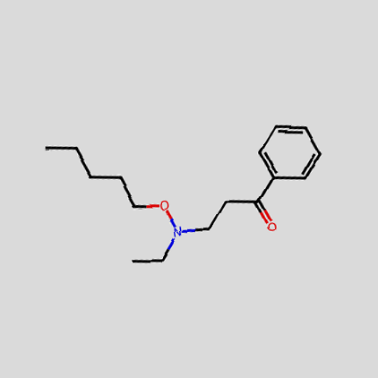 CCCCCON(CC)CCC(=O)c1ccccc1